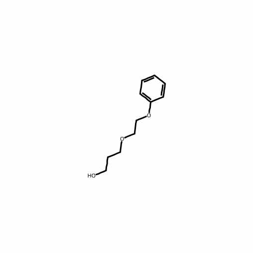 OCCCOCCOc1ccccc1